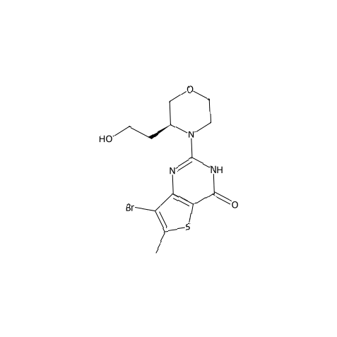 Cc1sc2c(=O)[nH]c(N3CCOC[C@@H]3CCO)nc2c1Br